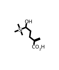 C=C(CCC(O)[Si](C)(C)C)C(=O)O